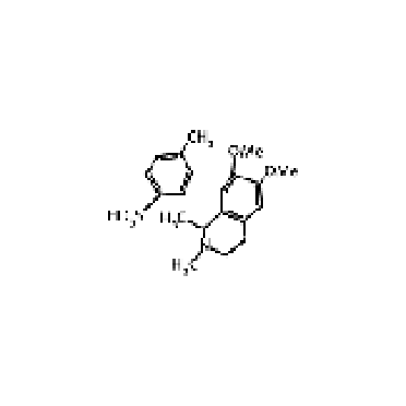 COc1cc2c(cc1OC)C(C)N(C)CC2.Cc1ccc(S(=O)(=O)O)cc1